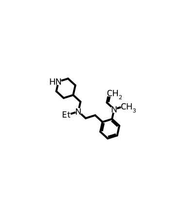 C=CN(C)c1ccccc1CCN(CC)CC1CCNCC1